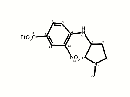 CCOC(=O)c1ccc(NC2CCN(C)C2)c([N+](=O)[O-])c1